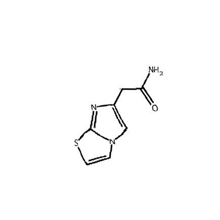 NC(=O)[CH]c1cn2ccsc2n1